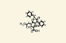 CC(C)CN(C[C@H](O)C(=O)O)C(=O)N[C@H](C(=O)OCc1ccccc1)c1ccccc1